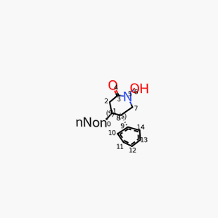 CCCCCCCCC[C@H]1CC(=O)N(O)C[C@@H]1c1ccccc1